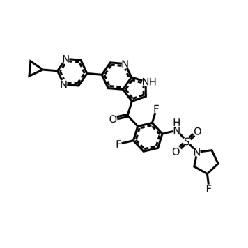 O=C(c1c(F)ccc(NS(=O)(=O)N2CCC(F)C2)c1F)c1c[nH]c2ncc(-c3cnc(C4CC4)nc3)cc12